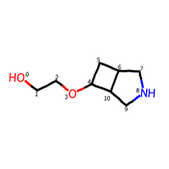 OCCOC1CC2CNCC21